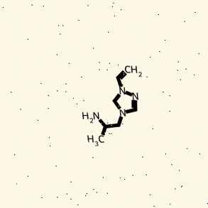 C=CN1CN(CC(C)N)C=N1